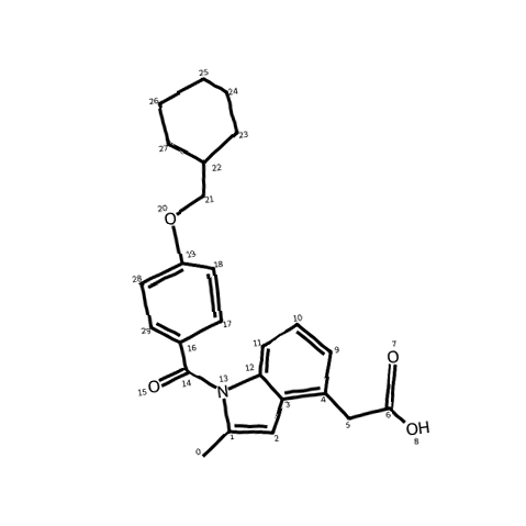 Cc1cc2c(CC(=O)O)cccc2n1C(=O)c1ccc(OCC2CCCCC2)cc1